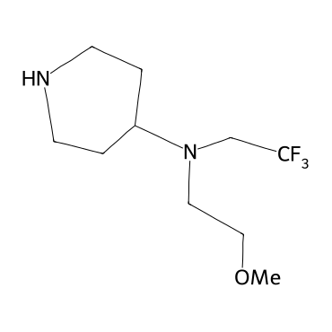 COCCN(CC(F)(F)F)C1CCNCC1